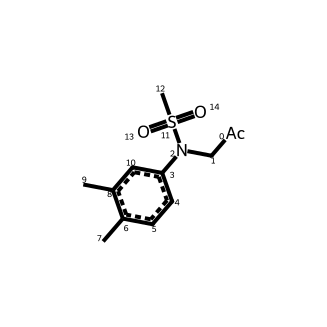 CC(=O)CN(c1ccc(C)c(C)c1)S(C)(=O)=O